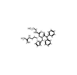 N=C(N)NCCC[C@H](C(=O)NCC(=O)O)N(Cc1cccs1)C(=O)C(c1ccccc1)c1ccccc1